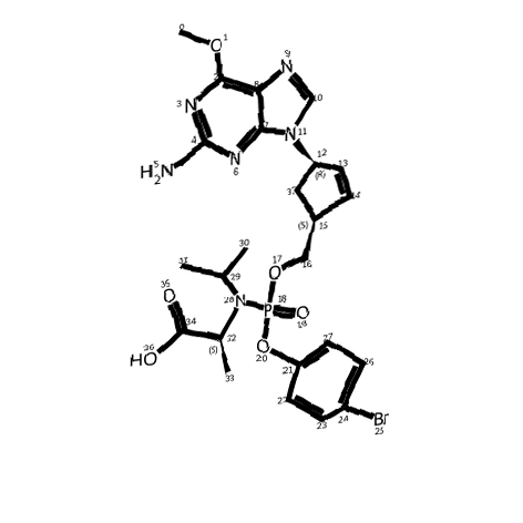 COc1nc(N)nc2c1ncn2[C@H]1C=C[C@@H](COP(=O)(Oc2ccc(Br)cc2)N(C(C)C)[C@@H](C)C(=O)O)C1